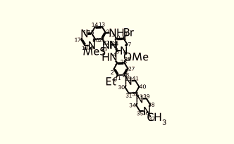 CCc1cc(Nc2ncc(Br)c(Nc3ccc4nccnc4c3NSC)n2)c(OC)cc1N1CCC(N2CCN(C)CC2)CC1